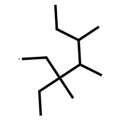 [CH2]CC(C)(CC)C(C)C(C)CC